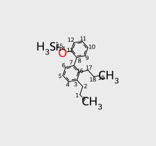 CCCc1cccc(-c2ccccc2O[SiH3])c1CCC